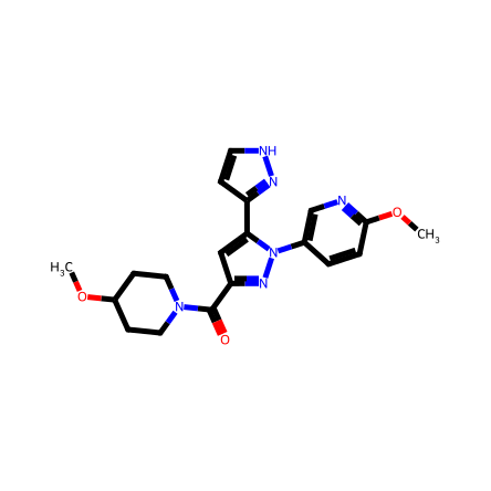 COc1ccc(-n2nc(C(=O)N3CCC(OC)CC3)cc2-c2cc[nH]n2)cn1